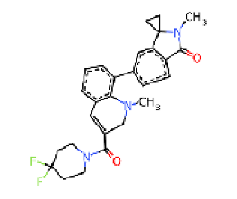 CN1CC(C(=O)N2CCC(F)(F)CC2)=Cc2cccc(-c3ccc4c(c3)C3(CC3)N(C)C4=O)c21